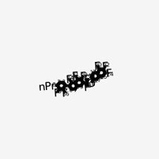 CCCc1ccc(-c2ccc3cc(C(F)(F)Oc4ccc5c(F)c(F)c(F)cc5c4)c(F)c(F)c3c2F)c(F)c1F